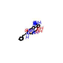 CC(C)(CC(=O)N[C@H](CCCc1ccccc1)C(=O)NCc1ccc(-c2ccccc2-c2nnn[nH]2)cc1)NC[C@H](O)CO